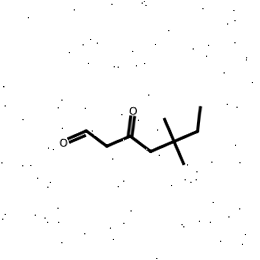 CCC(C)(C)CC(=O)CC=O